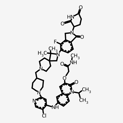 CNC(=O)COc1cc2cc(Nc3cc(N4CCC(CN5CCC6(CC5)CN(c5ccc7c(c5F)CN(C5CCC(=O)NC5=O)C7=O)C6(C)C)CC4)ncc3Cl)ccc2n(C(C)C)c1=O